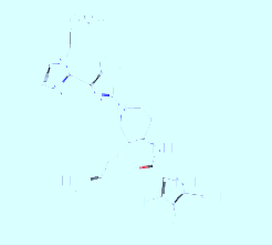 C=CCO[C@H]1CN(c2nc(-c3nccn3CCOC)c(C(=O)O)s2)CC[C@H]1NC(=O)c1[nH]c(C)c(Cl)c1Cl